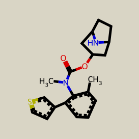 Cc1cccc(-c2ccsc2)c1N(C)C(=O)OC1CC2CCC(C1)N2